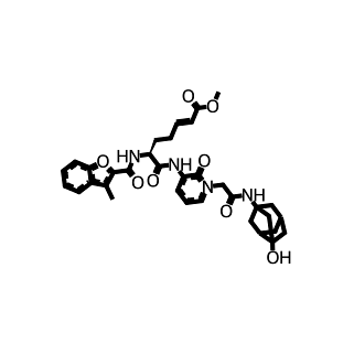 COC(=O)/C=C/CC[C@H](NC(=O)c1oc2ccccc2c1C)C(=O)Nc1cccn(CC(=O)NC23CC4CC(C2)C(O)(C4)C3)c1=O